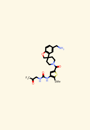 CSc1sc(C(=O)N2CCC3(CC2)COc2ccc(CN)cc23)cc1NC(=O)NCC(=O)C(F)(F)F